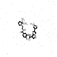 Cn1cc(-c2cn3ncc(C(=O)Nc4cc(C(=O)NCCN5CCCC5(C)C)ccc4F)c3s2)cn1